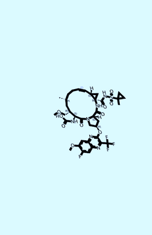 COC[C@@H]1C[C@H](C)CC/C=C\[C@@H]2C[C@@]2(C(=O)NS(=O)(=O)C2(C)CC2)NC(=O)[C@@H]2C[C@@H](Oc3nc4cc(OC)c(F)cc4nc3C(F)(F)F)CN2C(=O)[C@H]1NC(=O)O